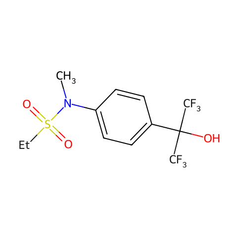 CCS(=O)(=O)N(C)c1ccc(C(O)(C(F)(F)F)C(F)(F)F)cc1